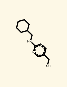 OCc1cnc(NCC2CCCCC2)nc1